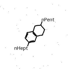 CCCCCCCc1ccc2c(c1)CCC(CCCCC)C2